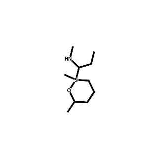 CCC(NC)[Si]1(C)CCCC(C)O1